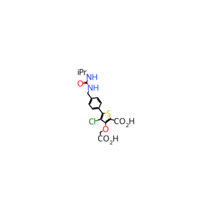 CC(C)NC(=O)NCc1ccc(-c2sc(C(=O)O)c(OCC(=O)O)c2Cl)cc1